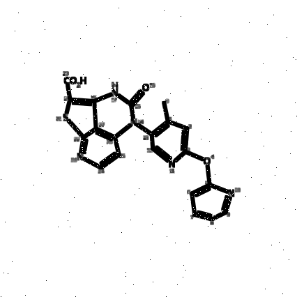 Cc1cc(Oc2ccccn2)ncc1N1C(=O)Nc2c(C(=O)O)sc3nccc1c23